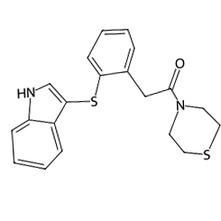 O=C(Cc1ccccc1Sc1c[nH]c2ccccc12)N1CCSCC1